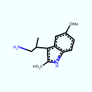 COc1ccc2[nH]c(C(=O)O)c(C(C)CN)c2c1